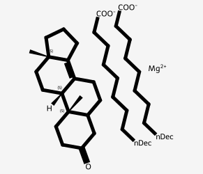 CCCCCCCCCCCCCCCCCC(=O)[O-].CCCCCCCCCCCCCCCCCC(=O)[O-].C[C@@]12CCCC1=C1CCC3CC(=O)CC[C@]3(C)[C@@H]1CC2.[Mg+2]